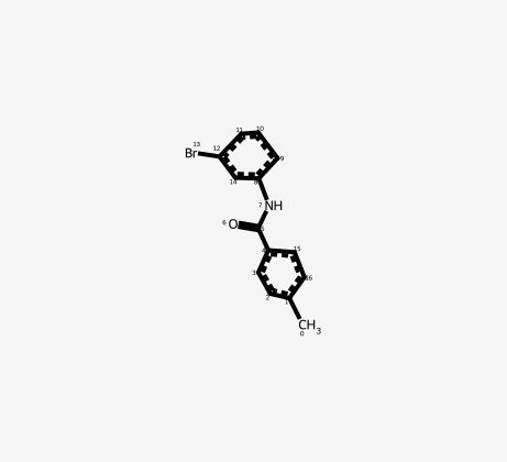 Cc1ccc(C(=O)Nc2cccc(Br)c2)cc1